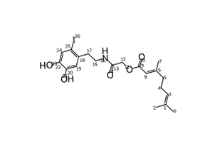 CC(C)=CCC/C(C)=C/C(=O)OCC(=O)NCCc1cc(O)c(O)cc1I